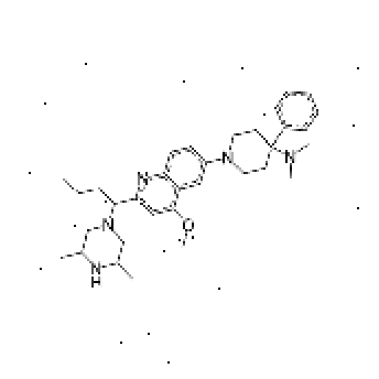 CCCC(c1cc(OC)c2cc(N3CCC(c4ccccc4)(N(C)C)CC3)ccc2n1)N1CC(C)NC(C)C1